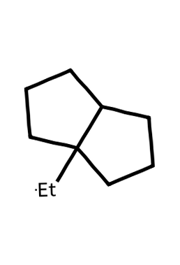 C[CH]C12CCCC1CCC2